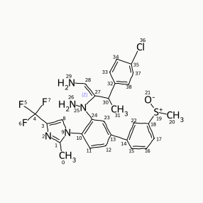 Cc1nc(C(F)(F)F)cn1-c1ccc(-c2cccc([S+](C)[O-])c2)cc1N(N)/C(=C\N)C(C)c1ccc(Cl)cc1